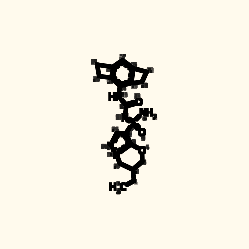 CCC1COc2c(S(N)(=O)=NC(=O)Nc3c4c(cc5c3CC5)CC4)cnn2C1